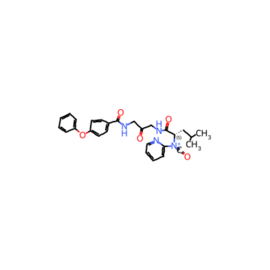 CC(C)C[C@@H](C(=O)NCC(=O)CNC(=O)c1ccc(Oc2ccccc2)cc1)[N+](=C=O)c1ccccn1